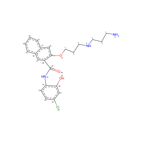 NCCCNCCCOc1cc2ccccc2cc1C(=O)Nc1ccc(Cl)cc1O